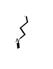 [CH2]CCCN=C